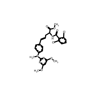 COC(=O)C(CC=Cc1ccc(N(C)c2nc(OC)cc(OC)n2)cc1)NC(=O)c1c(Cl)cccc1Cl